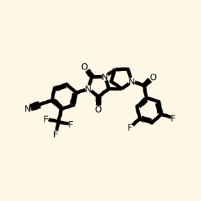 N#Cc1ccc(N2C(=O)C3C4CC(CN4C(=O)c4cc(F)cc(F)c4)N3C2=O)cc1C(F)(F)F